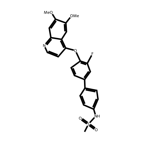 COc1cc2nccc(Oc3ccc(-c4ccc(NS(C)(=O)=O)cc4)cc3F)c2cc1OC